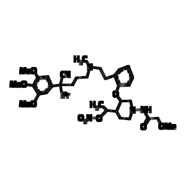 COCC(=O)NN1CCC(C(C)O[N+](=O)[O-])C(Oc2ccccc2CCN(C)CCCC(C#N)(c2cc(OC)c(OC)c(OC)c2)C(C)C)C1